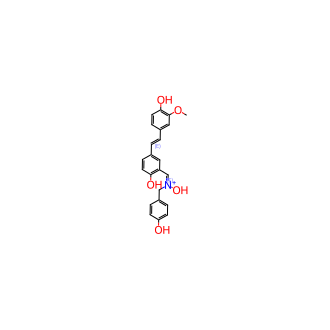 COc1cc(/C=C/c2ccc(O)c(/C=[N+](/O)Cc3ccc(O)cc3)c2)ccc1O